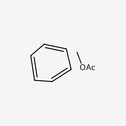 COC(C)=O.c1ccccc1